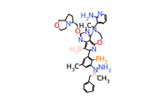 Bc1c(-c2cc(C)cc(N(N)B(C)Cc3ccccc3)c2P)nc2c3c(nc(OC[C@@H]4CCC5COCCN54)nc13)N(C(C)c1cccnc1N)CCO2